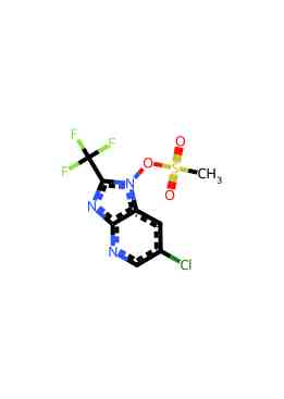 CS(=O)(=O)On1c(C(F)(F)F)nc2ncc(Cl)cc21